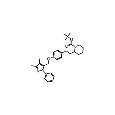 Cc1nn(-c2ccccc2)c(COc2ccc(CCC3CCCCN3C(=O)OC(C)(C)C)cc2)c1C